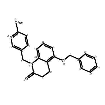 COc1ccc(CN2C(=O)CCc3c(OCc4ccccc4)cccc32)cn1